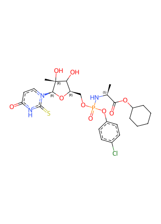 C[C@H](NP(=O)(OC[C@H]1O[C@@H](n2ccc(=O)[nH]c2=S)[C@](C)(O)C1O)Oc1ccc(Cl)cc1)C(=O)OC1CCCCC1